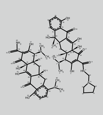 CN(C)[C@@H]1C(O)=C(C(=O)NCN2CCCC2)C(=O)[C@@]2(O)C(O)=C3C(=O)c4c(O)cccc4[C@@](C)(O)C3C[C@@H]12.CN(C)c1ccc(O)c2c1C[C@H]1C[C@H]3[C@H](N(C)C)C(O)=C(C(N)=O)C(=O)[C@@]3(O)C(O)=C1C2=O